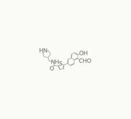 O=Cc1c(O)ccc2cc(-c3ccc(C(=O)NCC4CCNCC4)s3)ccc12